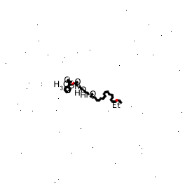 CC/C=C\C/C=C\C/C=C\C/C=C\C/C=C\C/C=C\CCC(=O)NCCOCCNC(=O)C1=CC(=O)C(C)(c2ccccc2)O1